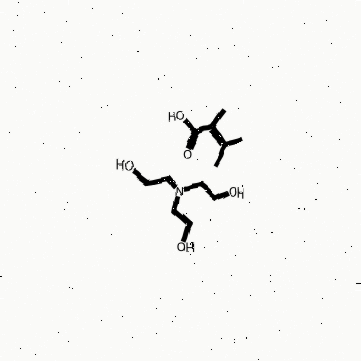 CC(C)=C(C)C(=O)O.OCCN(CCO)CCO